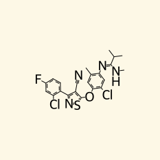 CNC(=Nc1cc(Cl)c(Oc2snc(-c3ccc(F)cc3Cl)c2C#N)cc1C)C(C)C